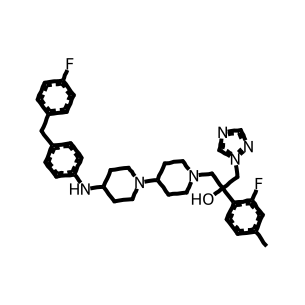 Cc1ccc(C(O)(CN2CCC(N3CCC(Nc4ccc(Cc5ccc(F)cc5)cc4)CC3)CC2)Cn2cncn2)c(F)c1